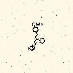 COc1ccc(CCC(CCn2ccnc2)N2CCCCC2)cc1